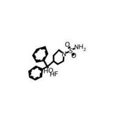 F.NS(=O)(=O)N1CCC(C(O)(c2ccccc2)c2ccccc2)CC1